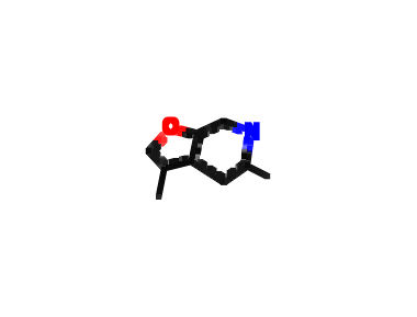 Cc1cc2c(C)coc2cn1